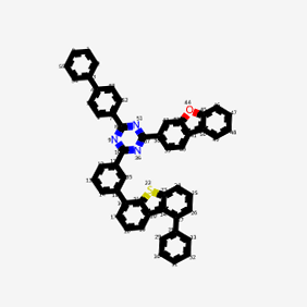 c1ccc(-c2ccc(-c3nc(-c4cccc(-c5cccc6c5sc5cccc(-c7ccccc7)c56)c4)nc(-c4ccc5c(c4)oc4ccccc45)n3)cc2)cc1